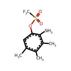 Cc1cc(OS(=O)(=O)C(F)(F)F)c([SiH3])c(C)c1C